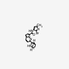 Cn1cc(NC(=O)c2ccc3ccc(N4C[C@H]5CC[C@@H]4CN5)nn23)c(Br)n1